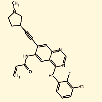 C=CC(=O)Nc1cc2c(Nc3cccc(Cl)c3F)ncnc2cc1C#C[C@H]1CCN(C)C1